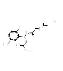 COC(=O)C[C@H](NC(=O)CNC(=O)OC(C)(C)C)c1cc(Br)ccc1F